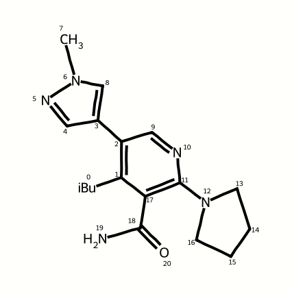 CCC(C)c1c(-c2cnn(C)c2)cnc(N2CCCC2)c1C(N)=O